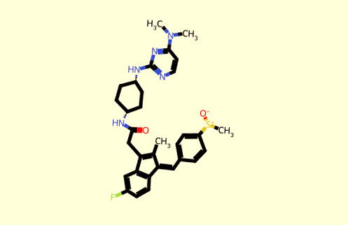 CC1=C(CC(=O)N[C@H]2CC[C@@H](Nc3nccc(N(C)C)n3)CC2)c2cc(F)ccc2C1=Cc1ccc([S+](C)[O-])cc1